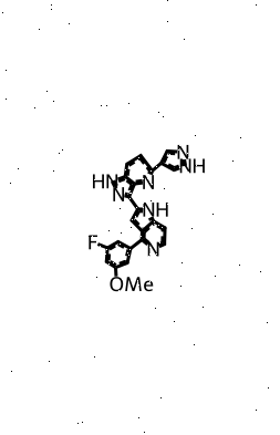 COc1cc(F)cc(-c2nccc3[nH]c(-c4n[nH]c5ccc(-c6cn[nH]c6)nc45)cc23)c1